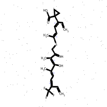 C=C\C(=C/C=C(C)/C(O)=C(\C)C(=N)CS/C(C)=C/C=C(\C=C)C1(C(=O)O)CC1)C(F)(F)F